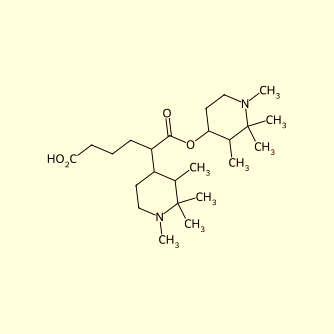 CC1C(OC(=O)C(CCCC(=O)O)C2CCN(C)C(C)(C)C2C)CCN(C)C1(C)C